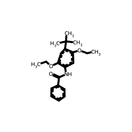 CCOc1cc(C(C)(C)C)c(OCC)cc1NC(=O)c1ccccc1